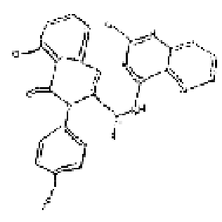 C[C@H](Nc1nc(Cl)nc2cccnc12)c1cc2cccc(Cl)c2c(=O)n1-c1ccc(F)cc1